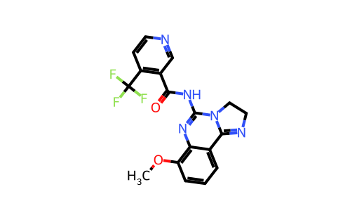 COc1cccc2c1N=C(NC(=O)c1cnccc1C(F)(F)F)N1CCN=C21